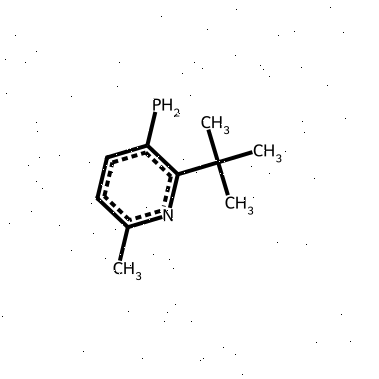 Cc1ccc(P)c(C(C)(C)C)n1